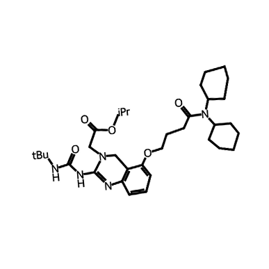 CC(C)OC(=O)CN1Cc2c(cccc2OCCCC(=O)N(C2CCCCC2)C2CCCCC2)N=C1NC(=O)NC(C)(C)C